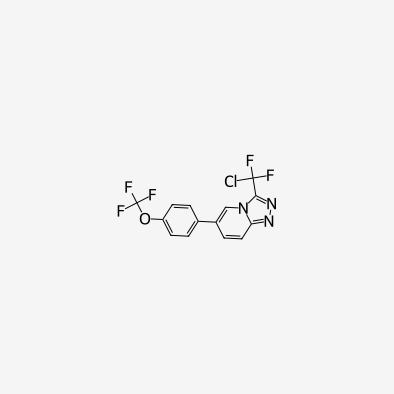 FC(F)(F)Oc1ccc(-c2ccc3nnc(C(F)(F)Cl)n3c2)cc1